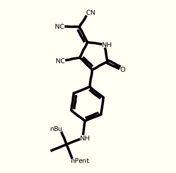 CCCCCC(C)(CCCC)Nc1ccc(C2=C(C#N)C(=C(C#N)C#N)NC2=O)cc1